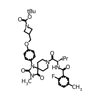 Cc1ccc(F)c(C(=O)N[C@@H](C(=O)N2CCC3(CC2)C(=O)N(C)C(=O)N3c2ccc(OCC3CN(C(=O)OC(C)(C)C)C3)cc2)C(C)C)c1